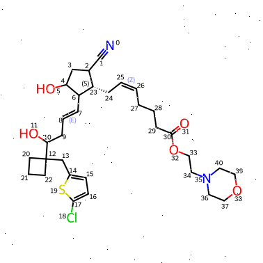 N#CC1CC(O)C(/C=C/CC(O)C2(Cc3ccc(Cl)s3)CCC2)[C@H]1C/C=C\CCCC(=O)OCCN1CCOCC1